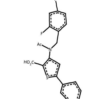 CC(=O)N(Cc1ccc(F)cc1F)c1cc(-c2ccccc2)sc1C(=O)O